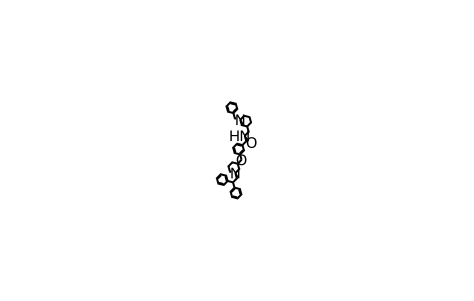 O=C(NCC1CCCN(Cc2ccccc2)C1)c1cccc(OC2CCCN(CC(c3ccccc3)c3ccccc3)C2)c1